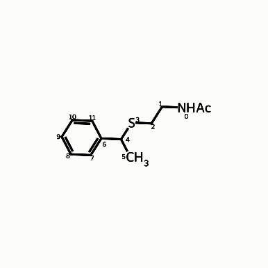 CC(=O)NCCSC(C)c1ccccc1